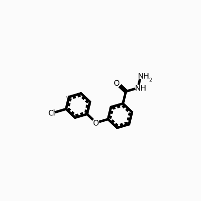 NNC(=O)c1cccc(Oc2cc[c]c(Cl)c2)c1